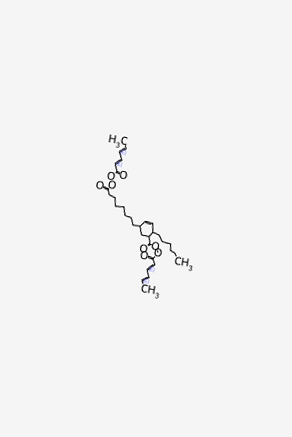 C/C=C/C=C/C(=O)OOC(=O)CCCCCCCC1C=CC(CCCCCC)C(C(=O)OOC(=O)/C=C/C=C/C)C1